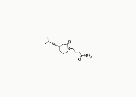 CC(C)C#CC1CCCN(CCCC(N)=O)C(=O)C1